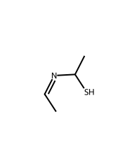 C/C=N\C(C)S